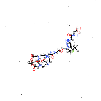 CC(C)(C)[Si](F)(c1cc(NCC(=O)NCC(=O)O)nn1CCOCCNC(=O)CN1CCN2CCN3CCN(CC1)CC(=O)[O][Ga]([O]C(=O)C2)[O]C(=O)C3)C(C)(C)C